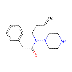 C=CCC1c2ccccc2CC(=O)N1N1CCNCC1